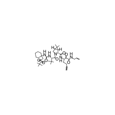 C#CCCC(NC(=O)[C@@H]1[C@@H]2[C@H](CN1C(=O)[C@@H](NC(=O)NC1(CS(=O)(=O)C(C)(C)C)CCCCC1)C(C)(C)C)C2(C)C)C(=O)C(=O)NCC=C